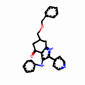 O=C1CC(COCc2ccccc2)Cc2[nH]c(-c3ccncc3)c(Nc3ccccc3)c21